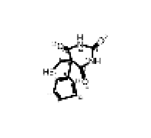 O=C1NC(=O)C(CS)(c2ccccc2)C(=O)N1